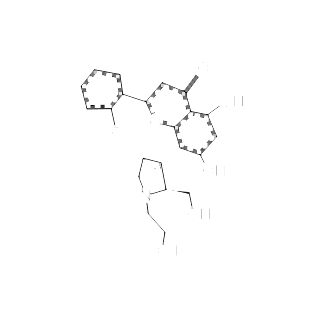 CCCN1CC[C@H](c2c(O)cc(O)c3c(=O)cc(-c4ccccc4Cl)oc23)[C@H]1CO